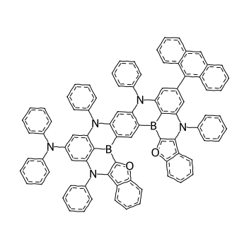 c1ccc(N(c2ccccc2)c2cc3c4c(c2)N(c2ccccc2)c2c(oc5ccccc25)B4c2cc4c(cc2N3c2ccccc2)N(c2ccccc2)c2cc(-c3c5ccccc5cc5ccccc35)cc3c2B4c2oc4ccccc4c2N3c2ccccc2)cc1